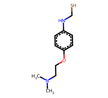 CN(C)CCOc1ccc(NCS)cc1